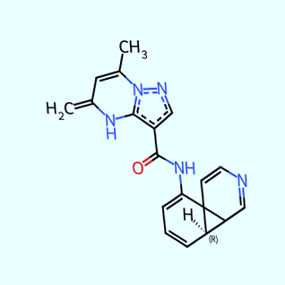 C=C1C=C(C)n2ncc(C(=O)NC3=CC=C[C@@H]4C5C=NC=CC354)c2N1